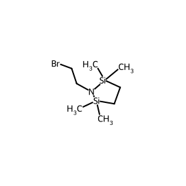 C[Si]1(C)CC[Si](C)(C)N1CCBr